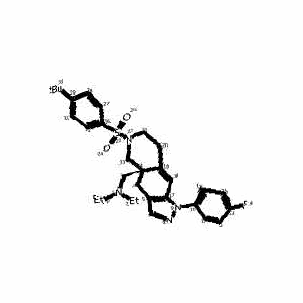 CCN(CC)C[C@]12Cc3cnn(-c4ccc(F)cc4)c3C=C1CCN(S(=O)(=O)c1ccc(C(C)(C)C)cc1)C2